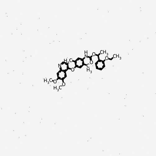 CCOc1ccccc1C(C)OC(=O)Nc1cc(C)c(Oc2ccnc3cc(OC)c(OC)cc23)cc1C